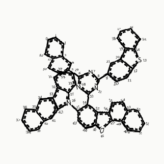 c1ccc2cc(-c3nc(-c4ccc5sc6ccccc6c5c4)nc(-c4c(-n5c6ccccc6c6cc7ccccc7cc65)ccc5oc6c7ccccc7ccc6c45)n3)ccc2c1